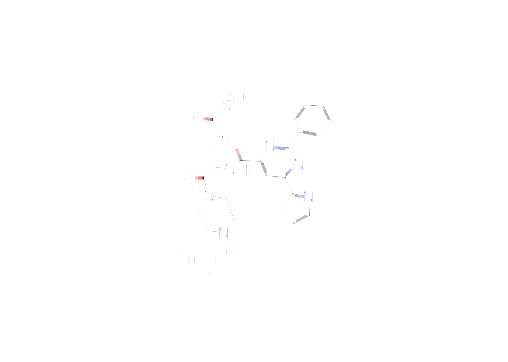 CCOC(=O)ON1CCN(C(=O)[C@H](CCC(=O)OC(C)(C)C)NC(=O)c2cc(-c3nccs3)nc(-c3ccccc3)n2)CC1